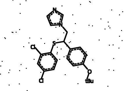 CC(C)(C)Oc1ccc(C(Cn2ccnc2)Sc2ccc(Cl)cc2Cl)cc1